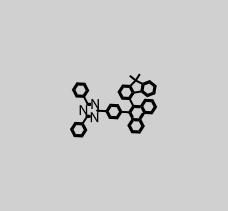 CC1(C)c2ccccc2-c2c(-c3c(-c4ccc(-c5nc(-c6ccccc6)nc(-c6ccccc6)n5)cc4)c4ccccc4c4ccccc34)cccc21